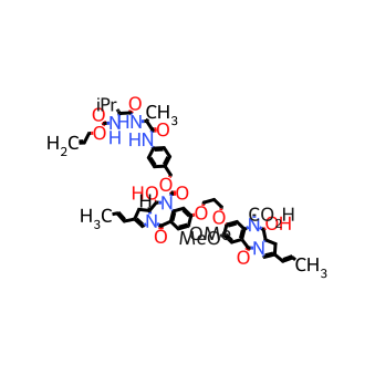 C=CCOC(=O)NC(C(=O)NC(C)C(=O)Nc1ccc(COC(=O)N2c3cc(OCCCOc4cc5c(cc4OC)C(=O)N4C=C(/C=C/C)CC4C(O)N5C(=O)O)c(OC)cc3C(=O)N3C=C(/C=C/C)C[C@H]3[C@@H]2O)cc1)C(C)C